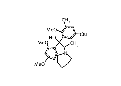 COc1ccc(C(O)(c2cc(C(C)(C)C)cc(C)c2OC)C(C)N2CCCCC2)c(OC)c1